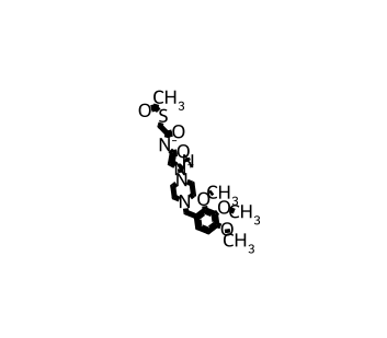 COc1ccc(CN2CCN([n+]3cc([N-]C(=O)CSC(C)=O)on3)CC2)c(OC)c1OC